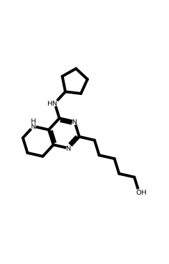 OCCCCCc1nc2c(c(NC3CCCC3)n1)NCCC2